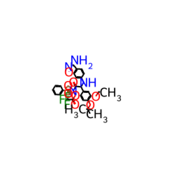 CCOc1cc(C(Nc2ccc3c(N)noc3c2)C(=O)N(OC(=O)C(F)(F)F)S(=O)(=O)c2ccccc2)ccc1OC(C)C